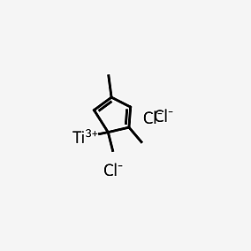 CC1=C[C](C)([Ti+3])C(C)=C1.[Cl-].[Cl-].[Cl-]